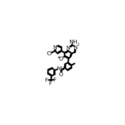 COc1c(-c2cc(C(=O)Nc3cccc(C(F)(F)F)c3)ccc2C)cc2cnc(N)nc2c1-c1ccnc(Cl)c1